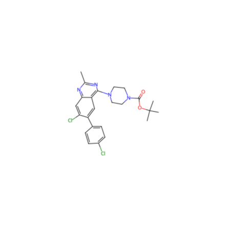 Cc1nc(N2CCN(C(=O)OC(C)(C)C)CC2)c2cc(-c3ccc(Cl)cc3)c(Cl)cc2n1